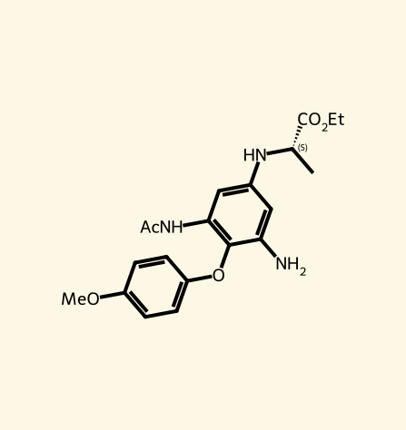 CCOC(=O)[C@H](C)Nc1cc(N)c(Oc2ccc(OC)cc2)c(NC(C)=O)c1